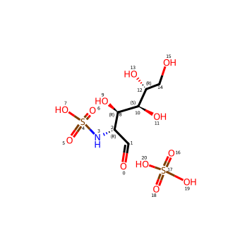 O=C[C@H](NS(=O)(=O)O)[C@@H](O)[C@H](O)[C@H](O)CO.O=S(=O)(O)O